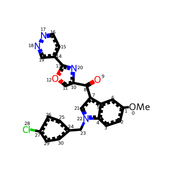 COc1ccc2c(c1)c(C(=O)c1coc(-c3ccnnc3)n1)cn2Cc1ccc(Cl)cc1